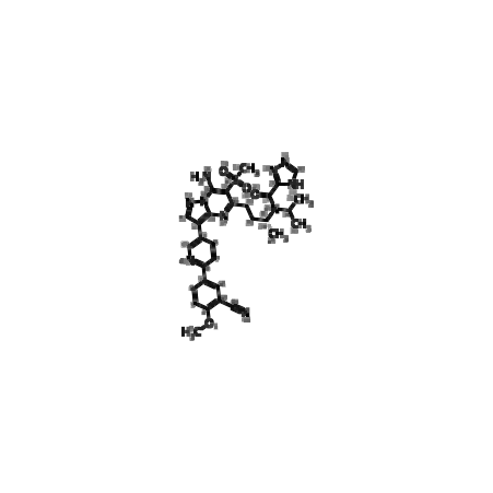 COc1ccc(-c2ccc(-c3cnn4c(N)c(S(C)(=O)=O)c(CC[C@@H](C)N(C(=O)c5nnc[nH]5)C(C)C)nc34)cn2)cc1C#N